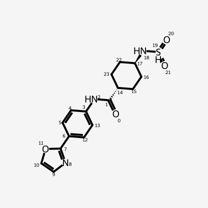 O=C(Nc1ccc(-c2ncco2)cc1)[C@H]1CC[C@H](N[SH](=O)=O)CC1